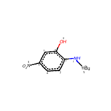 CCCCNc1ccc([N+](=O)[O-])cc1O